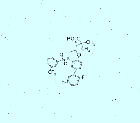 CC(C)(C[C@H]1CN(S(=O)(=O)c2cccc(C(F)(F)F)c2)c2cc(-c3cc(F)ccc3F)ccc2O1)C(=O)O